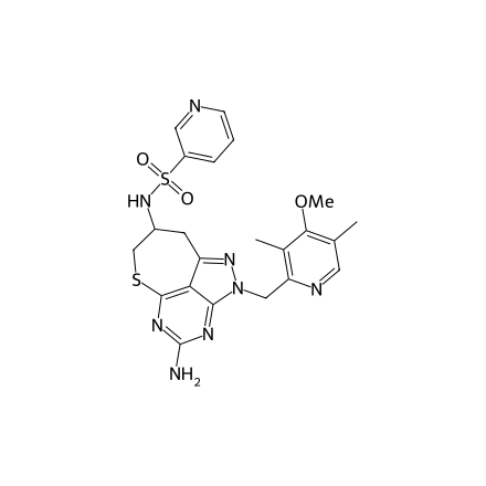 COc1c(C)cnc(Cn2nc3c4c(nc(N)nc42)SCC(NS(=O)(=O)c2cccnc2)C3)c1C